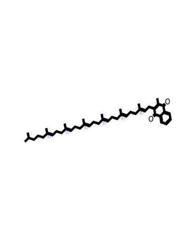 CC1=C(C/C=C(\C)CC/C=C(\C)CC/C=C(\C)CC/C=C(\C)CC/C=C(\C)CC/C=C(\C)CCCC(C)C)C(=O)c2ccccc2C1=O